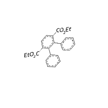 CCOC(=O)c1ccc(C(=O)OCC)c(-c2ccccc2)c1-c1ccccc1